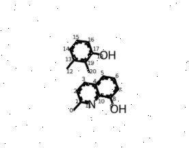 Cc1ccc2cccc(O)c2n1.Cc1cccc(O)c1C